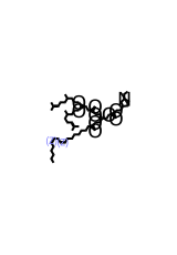 CCCCC/C=C\C/C=C\CCCCCCCC(=O)OCC(COC(=O)CCC(OCCC(C)CCC=C(C)C)OCCC(C)CCC=C(C)C)COC(=O)OCC1CCN(CC)C1